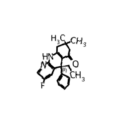 CC[C@]1(c2ccccc2)C2=C(CC(C)(C)CC2=O)Nc2ncc(F)cc21